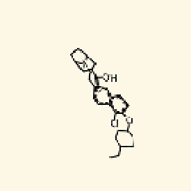 CCC1CCC(Oc2ccc3cc(CCN4C5CCC4CC(C(=O)O)C5)ccc3c2Cl)CC1